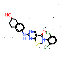 O=C1c2cnc(Nc3ccc4c(c3)CCC(O)C4)nc2SCN1c1c(Cl)cccc1Cl